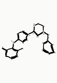 Cc1cccc(C)c1Sc1ccc(C2CN(Cc3ccccc3)CCO2)cc1